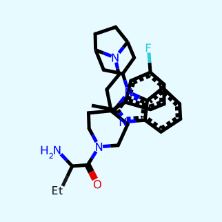 CCC(N)C(=O)N1CCC(CCN2C3CCC2CC(n2c(C)nc4ccccc42)C3)(c2cccc(F)c2)CC1